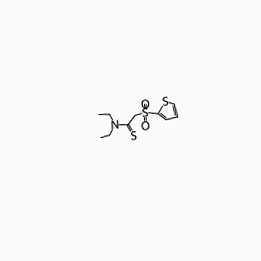 CCN(CC)C(=S)CS(=O)(=O)c1cccs1